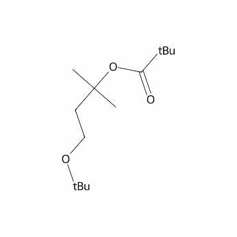 CC(C)(C)OCCC(C)(C)OC(=O)C(C)(C)C